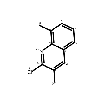 Cc1cc2cccc(C)c2nc1Cl